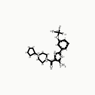 Cc1nc(-c2cccc(OC(F)(F)F)c2)sc1C(=O)N1CCN(C2CCCC2)CC1